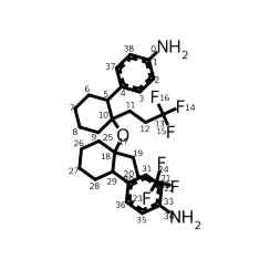 Nc1ccc(C2CCCCC2(CCC(F)(F)F)OC2(CCC(F)(F)F)CCCCC2c2ccc(N)cc2)cc1